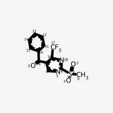 CS(=O)(=O)c1ncc(C(=O)c2ccccc2)c(C(F)(F)F)n1